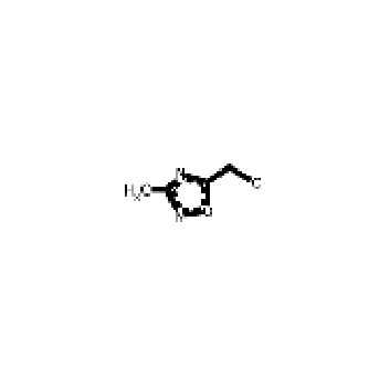 Cc1noc(C[O])n1